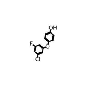 Oc1ccc(Oc2cc(F)cc(Cl)c2)cc1